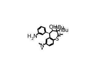 CCCCC1(CCCC)[C@H](O)[C@H](c2cccc(N)c2)c2cc(N(C)C)ccc2SN1C